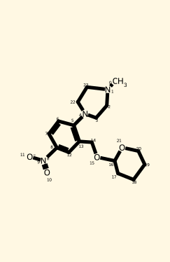 CN1CCN(c2ccc([N+](=O)[O-])cc2COC2CCCCO2)CC1